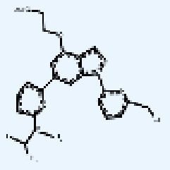 COCCOc1cc(-c2cccc([C@@H](N)C(C)F)n2)cc2c1cnn2-c1cccc(CO)n1